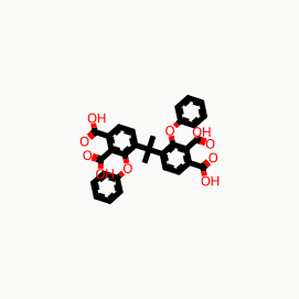 CC(C)(c1ccc(C(=O)O)c(C(=O)O)c1Oc1ccccc1)c1ccc(C(=O)O)c(C(=O)O)c1Oc1ccccc1